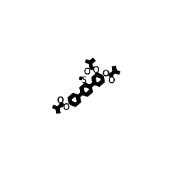 C=C(C)C(=O)Oc1ccc(-c2ccc(-c3ccc(OC(=O)C(=C)C)c(OC(=O)C(=C)C)c3)c(SC)c2)cc1